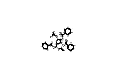 C=CC[C@@H](OC(=O)c1ccccc1)[C@H]1O[C@@H](OC(C)=O)[C@H](OC(=O)c2ccccc2)[C@@H]1OC(=O)c1ccccc1